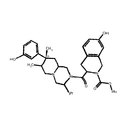 CC(C)C1CN2CC(C)[C@](C)(c3cccc(O)c3)CC2CN1C(=O)C1Cc2ccc(O)cc2CN1C(=O)OC(C)(C)C